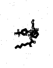 [CH2]C(CCCCCC)C(=O)O[C@@]12CC[C@H](C[C@H]1Oc1ccc(C(F)(F)F)cn1)[C@@H](COCOC)N2